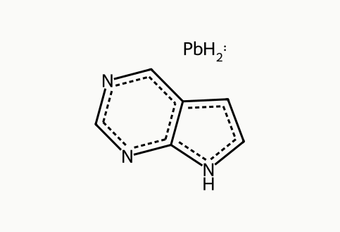 [PbH2].c1ncc2cc[nH]c2n1